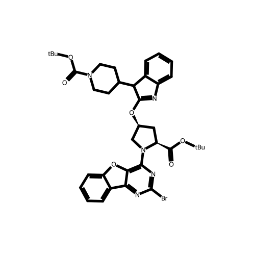 CC(C)(C)OC(=O)[C@@H]1C[C@H](OC2=Nc3ccccc3C2C2CCN(C(=O)OC(C)(C)C)CC2)CN1c1nc(Br)nc2c1oc1ccccc12